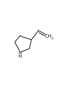 C=[C]C1CCNC1